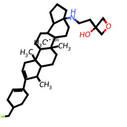 CC1C(C2=CCC(CF)CC2)=CCC2(C)C1CCC1(C)C2CCC2C3CCCC3(NCCC3(O)COC3)CC[C@]21C